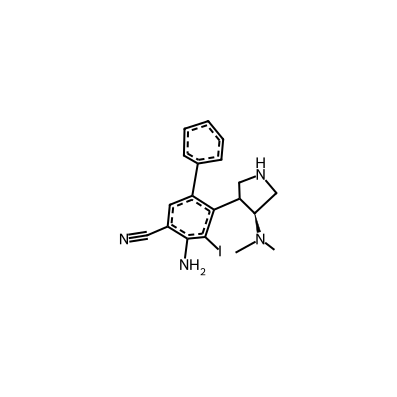 CN(C)[C@@H]1CNCC1c1c(-c2ccccc2)cc(C#N)c(N)c1I